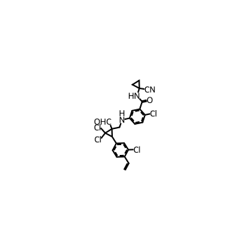 C=Cc1ccc(C2C(Cl)(Cl)C2(C=O)CNc2ccc(Cl)c(C(=O)NC3(C#N)CC3)c2)cc1Cl